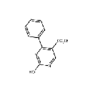 CCOC(=O)c1cnc(O)nc1-c1ccccc1